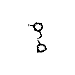 Fc1[c]ccc(COc2ccccc2)c1